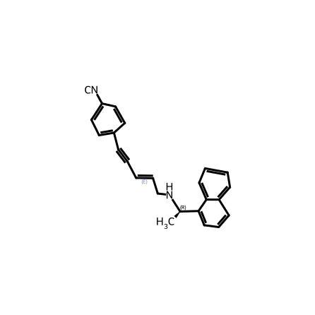 [C-]#[N+]c1ccc(C#C/C=C/CN[C@H](C)c2cccc3ccccc23)cc1